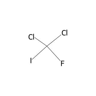 FC(Cl)(Cl)I